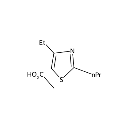 CC(=O)O.CCCc1nc(CC)cs1